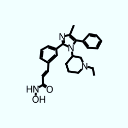 CCN1CCCC(n2c(-c3cccc(C=CC(=O)NO)c3)nc(C)c2-c2ccccc2)C1